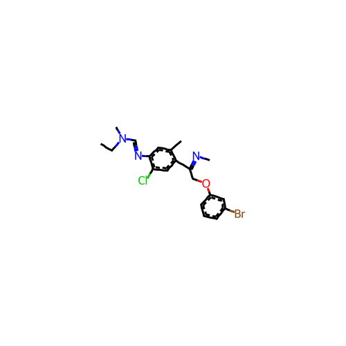 CCN(C)C=Nc1cc(C)c(C(COc2cccc(Br)c2)=NC)cc1Cl